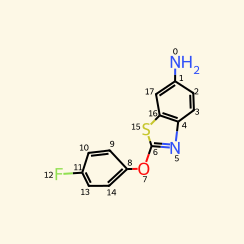 Nc1ccc2nc(Oc3ccc(F)cc3)sc2c1